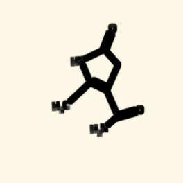 CC1=C(C(N)=O)CC(=O)N1